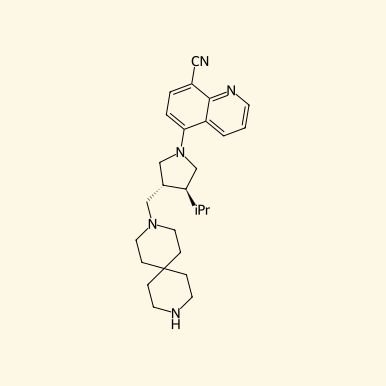 CC(C)[C@@H]1CN(c2ccc(C#N)c3ncccc23)C[C@H]1CN1CCC2(CCNCC2)CC1